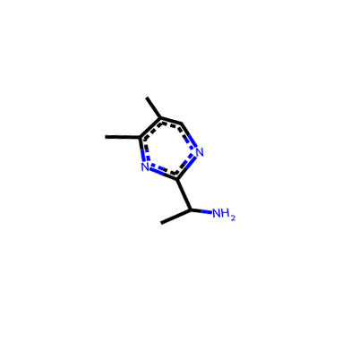 Cc1cnc(C(C)N)nc1C